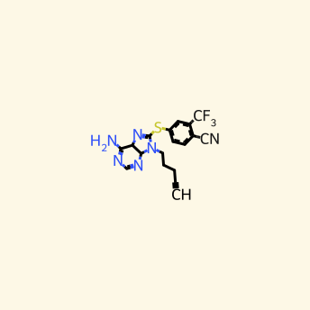 C#CCCCN1C(Sc2ccc(C#N)c(C(F)(F)F)c2)=NC2C(N)=NC=NC21